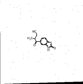 CC(CC#N)C(=O)c1ccc2sc(=O)[nH]c2c1